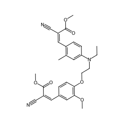 CCN(CCOc1ccc(C=C(C#N)C(=O)OC)cc1OC)c1ccc(C=C(C#N)C(=O)OC)c(C)c1